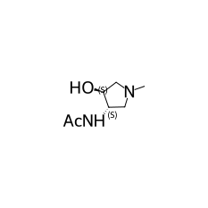 CC(=O)N[C@H]1CN(C)C[C@@H]1O